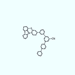 N#Cc1cc(-c2ccc(-c3ccccc3)cc2)cc(-c2cccc(-c3ccc4c(c3)Sc3cccc5c6ccccc6n-4c35)c2)c1